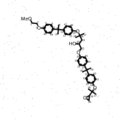 COCCOc1ccc(C(C)(C)c2ccc(OC(C)(C)CC(O)COc3ccc(C(C)(C)c4ccc(OC(C)(C)C5CO5)cc4)cc3)cc2)cc1